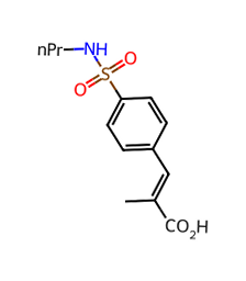 CCCNS(=O)(=O)c1ccc(C=C(C)C(=O)O)cc1